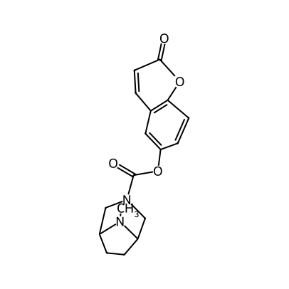 CN1C2CCC1CN(C(=O)Oc1ccc3oc(=O)ccc3c1)C2